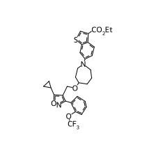 CCOC(=O)c1csc2cc(N3CCCC(OCc4c(-c5ccccc5OC(F)(F)F)noc4C4CC4)CC3)ccc12